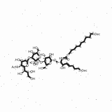 CCCCCCCCCCCCC/C=C/[C@@H](O)[C@H](CO[C@@H]1O[C@H](CO)[C@@H](O[C@@H]2O[C@H](CO)[C@H](O)[C@H](O[C@]3(C(=O)O)C[C@H](O)[C@@H](NC(C)=O)[C@H]([C@H](O)[C@H](O)CO)O3)[C@H]2O)[C@H](O)[C@H]1O)NC(=O)CCCCCCCCCCCCCCCCCCCCC